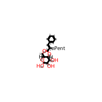 CCCCCC(=Cc1ccccc1)C1OC[C@H]2OC(O)[C@H](O)[C@@H](O)[C@@H]2O1